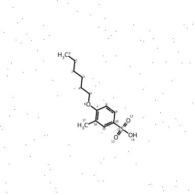 CCCCCCOc1ccc(S(=O)(=O)O)cc1C